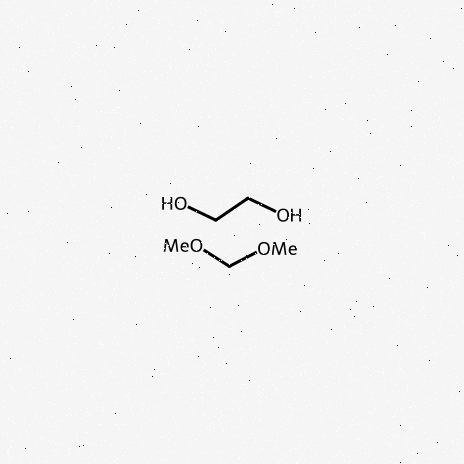 COCOC.OCCO